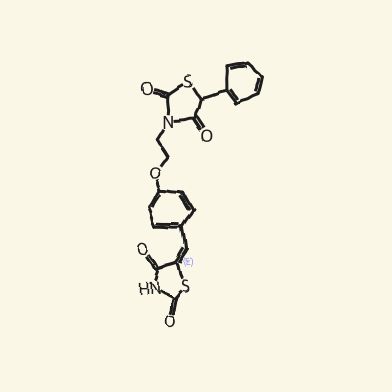 O=C1NC(=O)/C(=C\c2ccc(OCCN3C(=O)SC(c4ccccc4)C3=O)cc2)S1